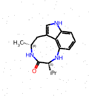 CC(C)[C@@H]1Nc2cccc3[nH]cc(c23)C[C@@H](C)NC1=O